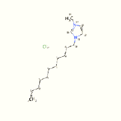 C=CCCCCCCCCCn1cc[n+](C)c1.[Cl-]